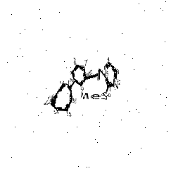 CSc1nccn1-c1cccc(-c2ccccc2)c1